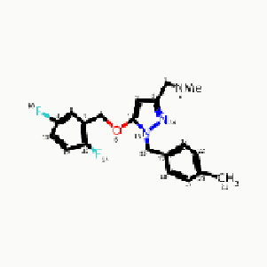 CNCc1cc(OCc2cc(F)ccc2F)n(Cc2ccc(C)cc2)n1